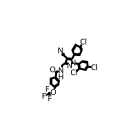 N#Cc1c(CNC(=O)c2ccc(OC(F)(F)F)cc2)nn(-c2ccc(Cl)cc2Cl)c1-c1ccc(Cl)cc1